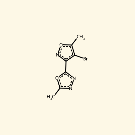 Cc1nnc(-c2noc(C)c2Br)o1